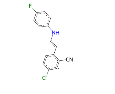 N#Cc1[c]c(Cl)ccc1C=CNc1ccc(F)cc1